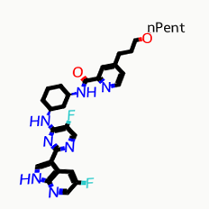 CCCCCOCCCc1ccnc(C(=O)N[C@@H]2CCC[C@H](Nc3nc(-c4c[nH]c5ncc(F)cc45)ncc3F)C2)c1